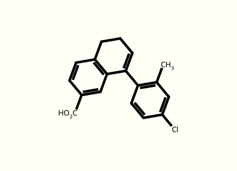 Cc1cc(Cl)ccc1C1=CCCc2ccc(C(=O)O)cc21